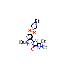 CCc1c2nc(-c3cc(S(=O)(=O)N4CCN(CC)CC4)cnc3OCC(C)C)[nH]c(=O)c2nn1CC